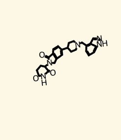 O=C1CCC(N2Cc3cc(C4CCN(Cc5cccc6[nH]ncc56)CC4)ccc3C2=O)C(=O)N1